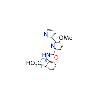 COc1ccc(C(=O)N[C@@H](CC(=O)O)c2ccccc2F)nc1-c1cccnc1